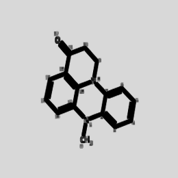 CN1c2ccccc2N2CCC(=O)c3cccc1c32